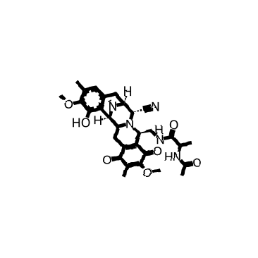 COC1=C(C)C(=O)C2=C(C1=O)[C@H](CNC(=O)C(C)NC(C)=O)N1C(C2)[C@H]2c3c(cc(C)c(OC)c3O)C[C@@H]([C@@H]1C#N)N2C